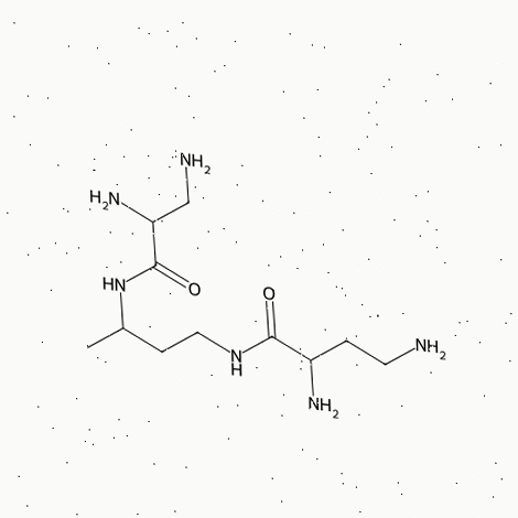 CC(CCNC(=O)C(N)CCN)NC(=O)C(N)CN